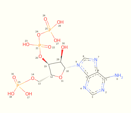 Nc1ncnc2c1ncn2[C@@H]1O[C@H](COP(=O)(O)O)[C@@H](OP(=O)(O)OP(=O)(O)O)[C@H]1O